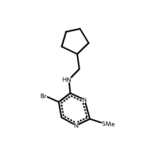 CSc1ncc(Br)c(NCC2CCCC2)n1